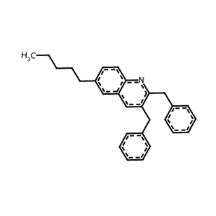 CCCCCc1ccc2nc(Cc3ccccc3)c(Cc3ccccc3)cc2c1